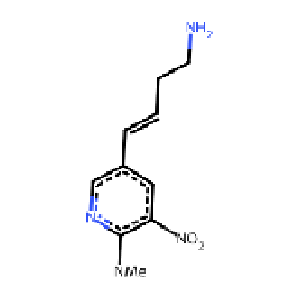 CNc1ncc(/C=C/CCN)cc1[N+](=O)[O-]